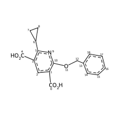 O=C(O)c1cc(C(=O)O)c(C2CC2)nc1OCc1ccccc1